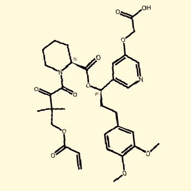 C=CC(=O)OCC(C)(C)C(=O)C(=O)N1CCCC[C@H]1C(=O)O[C@H](CCc1ccc(OC)c(OC)c1)c1cncc(OCC(=O)O)c1